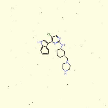 Clc1cnc(N[C@@H]2CCC[C@H](CN3CCNCC3)C2)nc1-c1c[nH]c2ccccc12